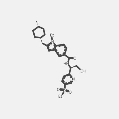 CCn1c(C[C@H]2CC[C@@H](C)CC2)cc2cc(C(=O)N[C@@H](CO)c3ccc(S(=O)(=O)CC)cn3)ccc21